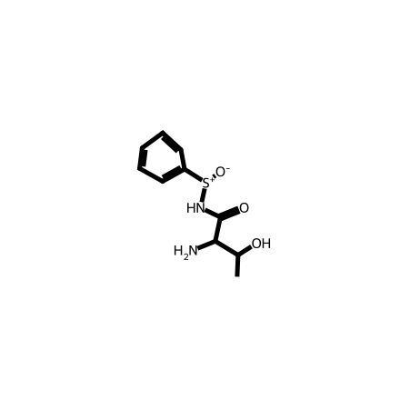 CC(O)C(N)C(=O)N[S+]([O-])c1ccccc1